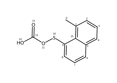 Cc1cccc2cccc(SOC(=O)O)c12